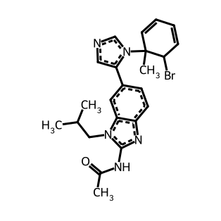 CC(=O)Nc1nc2ccc(-c3cncn3C3(C)C=CC=CC3Br)cc2n1CC(C)C